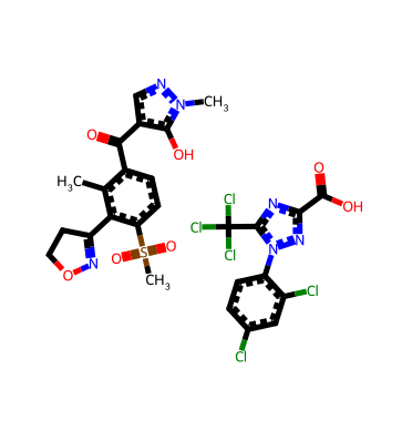 Cc1c(C(=O)c2cnn(C)c2O)ccc(S(C)(=O)=O)c1C1=NOCC1.O=C(O)c1nc(C(Cl)(Cl)Cl)n(-c2ccc(Cl)cc2Cl)n1